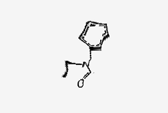 CCN([C]=O)c1ccccc1